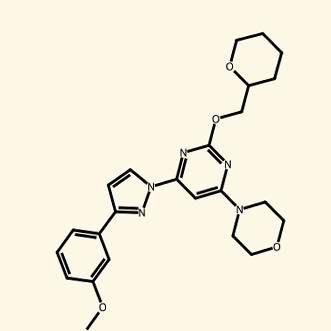 COc1cccc(-c2ccn(-c3cc(N4CCOCC4)nc(OCC4CCCCO4)n3)n2)c1